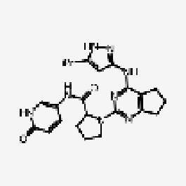 CC(C)c1cc(Nc2nc(N3CCC[C@H]3C(=O)Nc3ccc(=O)[nH]c3)nc3c2CCC3)n[nH]1